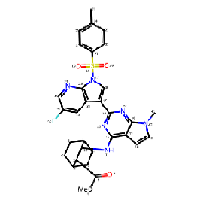 COC(=O)C1C2CCC(CC2)C1Nc1nc(-c2cn(S(=O)(=O)c3ccc(C)cc3)c3ncc(F)cc23)nc2c1ccn2C